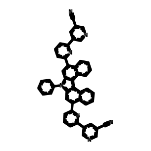 N#Cc1cncc(-c2cccc(-c3cc4c(c5ccccc35)c3c5ccccc5c(-c5cccc(-c6cncc(C#N)c6)n5)cc3n4-c3ccccc3)n2)c1